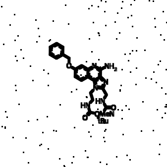 CNC(=O)NCc1nc2c(N)nc3cc(OCc4ccccc4)ccc3c2n1CCNC(=O)OC(C)(C)C